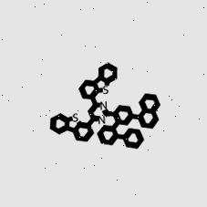 c1ccc(-c2ccccc2-c2cc(-c3cccc4ccccc34)ccc2-c2nc(-c3cccc4c3sc3ccccc34)cc(-c3cccc4c3sc3ccccc34)n2)cc1